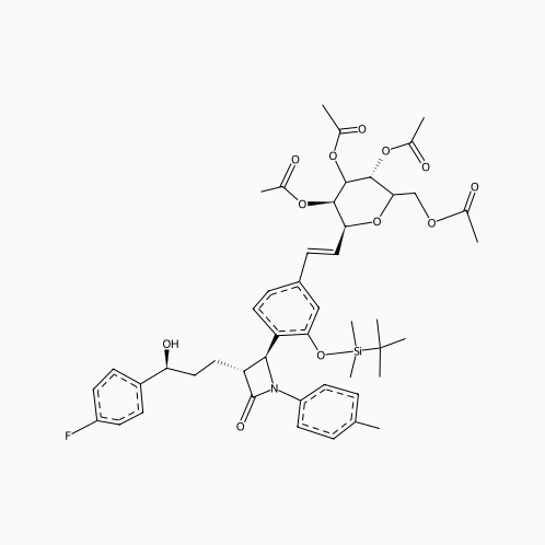 CC(=O)OCC1O[C@@H](/C=C/c2ccc([C@@H]3[C@@H](CC[C@H](O)c4ccc(F)cc4)C(=O)N3c3ccc(C)cc3)c(O[Si](C)(C)C(C)(C)C)c2)[C@@H](OC(C)=O)C(OC(C)=O)[C@@H]1OC(C)=O